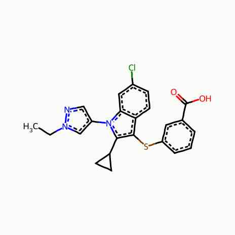 CCn1cc(-n2c(C3CC3)c(Sc3cccc(C(=O)O)c3)c3ccc(Cl)cc32)cn1